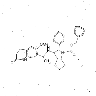 COc1cc2c(cc1C(C)NC1C3CCCC3N(C(=O)OCc3ccccc3)C1c1ccccc1)NC(=O)CC2